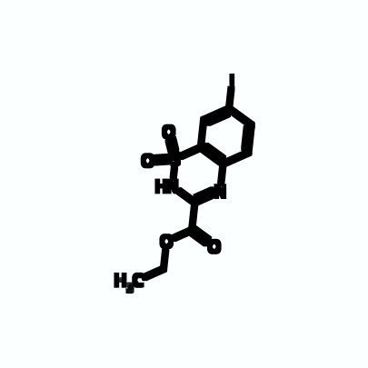 CCOC(=O)C1=Nc2ccc(I)cc2S(=O)(=O)N1